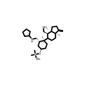 C=C1CCC2[C@H](CN)C([C@@]3(C)CC[C@H](O[Si](C)(C)C(C)(C)C)C[C@@H]3CNC3CCCC3)CC[C@]12C